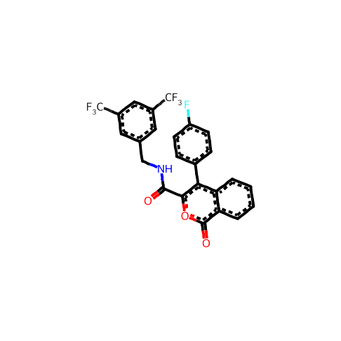 O=C(NCc1cc(C(F)(F)F)cc(C(F)(F)F)c1)c1oc(=O)c2ccccc2c1-c1ccc(F)cc1